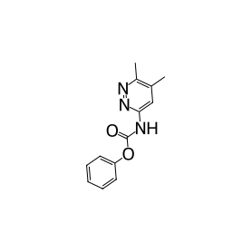 Cc1cc(NC(=O)Oc2ccccc2)nnc1C